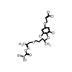 CCN(CC)C(=O)ON=C(C)COCCCC(C)Oc1c(Cl)cc(OCC=C(Cl)Cl)cc1Cl